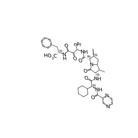 CCCC(NC(=O)[C@@H]1[C@@H](I)CC2C(C)[C@H](NC(=O)[C@@H](NC(=O)c3cnccn3)C3CCCCC3)C(=O)N21)C(=O)C(=O)N[C@@H](Cc1ccccc1)C(=O)O